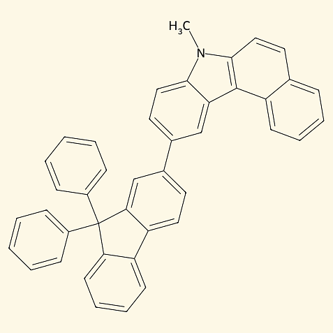 Cn1c2ccc(-c3ccc4c(c3)C(c3ccccc3)(c3ccccc3)c3ccccc3-4)cc2c2c3ccccc3ccc21